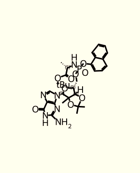 C[C@H](NP(=O)(OC[C@H]1O[C@@H](n2cnc3c(=O)[nH]c(N)nc32)C2(C)OC(C)(C)O[C@@H]12)Oc1cccc2ccccc12)C(=O)OC(C)(C)C